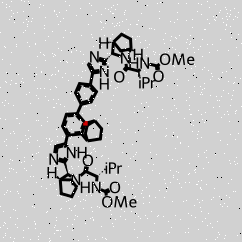 COC(=O)N[C@H](C(=O)N1C2CC[C@@H](C2)[C@H]1c1ncc(-c2ccc(-c3ccc(-c4cnc([C@@H]5[C@H]6CC[C@H](C6)N5C(=O)[C@@H](NC(=O)OC)C(C)C)[nH]4)cc3)c3c2C2CCC3CC2)[nH]1)C(C)C